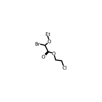 CCOC(Br)C(=O)OCCCl